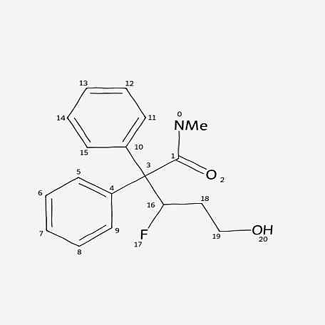 CNC(=O)C(c1ccccc1)(c1ccccc1)C(F)CCO